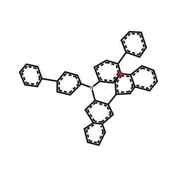 c1ccc(-c2ccc(N(c3ccc(-c4ccccc4)cc3)c3cc4ccccc4cc3-c3ccc4ccccc4c3)cc2)cc1